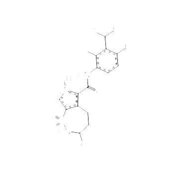 CC1CCc2c(cn(C)c2C(=O)Nc2ccc(F)c(C(F)F)c2F)S(=O)(=O)N1